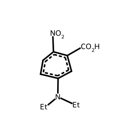 CCN(CC)c1ccc([N+](=O)[O-])c(C(=O)O)c1